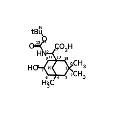 CC1(C)CC2(C)CC(O)CC(C(NC(=O)OC(C)(C)C)C(=O)O)(C1)C2